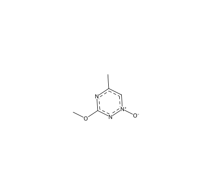 COc1nc(C)c[n+]([O-])n1